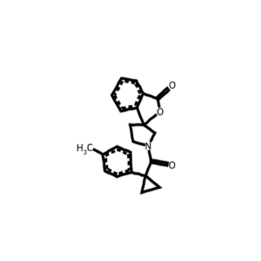 Cc1ccc(C2(C(=O)N3CCC4(C3)OC(=O)c3ccccc34)CC2)cc1